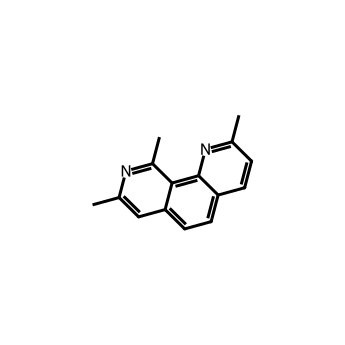 Cc1cc2ccc3ccc(C)nc3c2c(C)n1